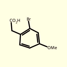 COc1ccc(CC(=O)O)c(Br)c1